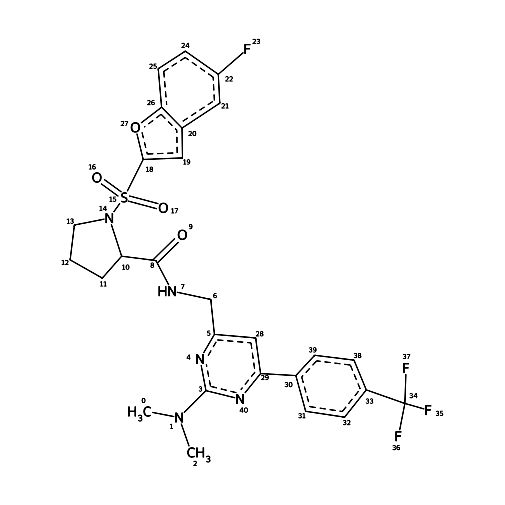 CN(C)c1nc(CNC(=O)C2CCCN2S(=O)(=O)c2cc3cc(F)ccc3o2)cc(-c2ccc(C(F)(F)F)cc2)n1